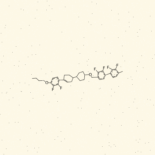 CCCCOc1ccc(C2=CCC(C3CCC(OCc4ccc(-c5ccc(C)c(F)c5F)c(F)c4F)CC3)CC2)c(F)c1F